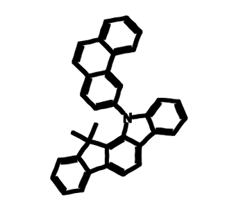 CC1(C)c2ccccc2-c2ccc3c4ccccc4n(-c4ccc5ccc6ccccc6c5c4)c3c21